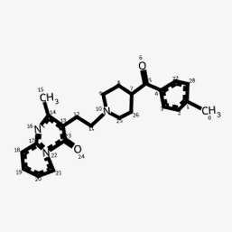 Cc1ccc(C(=O)C2CCN(CCc3c(C)nc4ccccn4c3=O)CC2)cc1